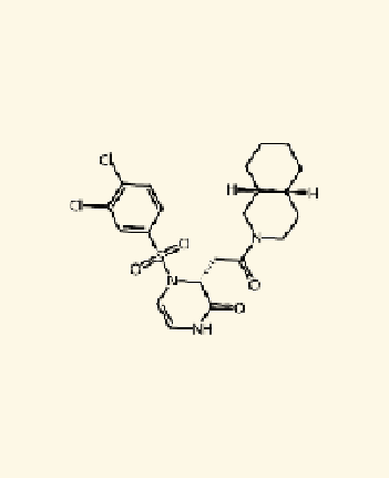 O=C1NC=CN(S(=O)(=O)c2ccc(Cl)c(Cl)c2)[C@@H]1CC(=O)N1CC[C@H]2CCCC[C@H]2C1